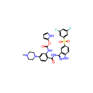 CN1CCN(c2ccc(C(=O)Nc3n[nH]c4ccc(S(=O)(=O)c5cc(F)cc(F)c5)cc34)c(NC(=O)Oc3ccc[nH]3)c2)CC1